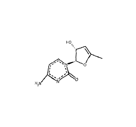 CC1=C[C@@H](O)[C@H](n2ccc(N)nc2=O)O1